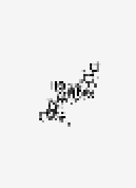 O=C(c1ccc(Cl)cc1)N1CCN(C2CN(c3ccc(Cl)c(C(F)(F)F)c3)CC2O)CC1